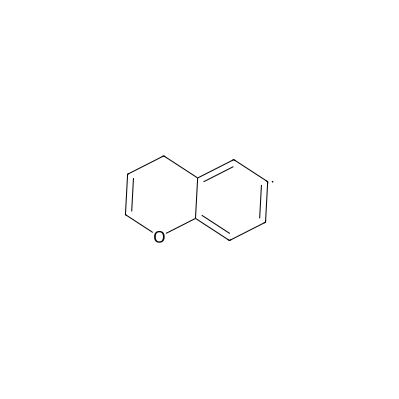 [c]1ccc2c(c1)CC=CO2